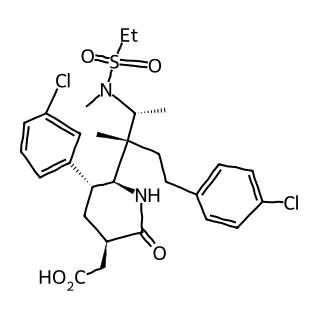 CCS(=O)(=O)N(C)[C@H](C)[C@](C)(CCc1ccc(Cl)cc1)[C@H]1NC(=O)[C@@H](CC(=O)O)C[C@@H]1c1cccc(Cl)c1